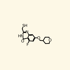 O=c1[nH]c(CS)nc2cc(OCC3CCOCC3)cc(F)c12